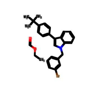 CC(C)(C)c1ccc(-c2cn(Cc3cccc(Br)c3)c3ccccc23)cc1.CCOC=O